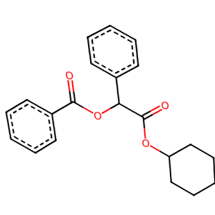 O=C(OC(C(=O)OC1CCCCC1)c1ccccc1)c1ccccc1